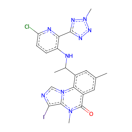 Cc1cc(C(C)Nc2ccc(Cl)nc2-c2nnn(C)n2)c2c(c1)c(=O)n(C)c1c(I)ncn21